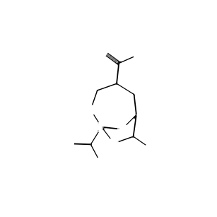 CC(=O)C1CO[Si]2(C(C)C)OC(O)C(C1)O2